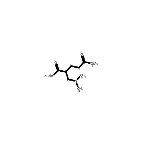 CCCCCC(=O)C(CCC(=O)OC)CN(C)C